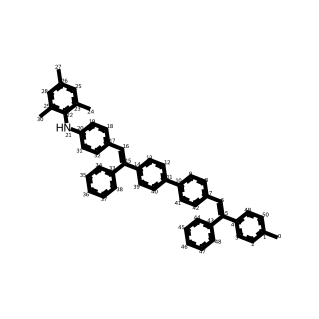 Cc1ccc(C(=Cc2ccc(-c3ccc(C(=Cc4ccc(Nc5c(C)cc(C)cc5C)cc4)c4ccccc4)cc3)cc2)c2ccccc2)cc1